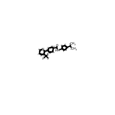 CC(C)c1ccc(NC(=O)c2ccc(-c3ncccc3C(F)(F)F)cc2)cc1